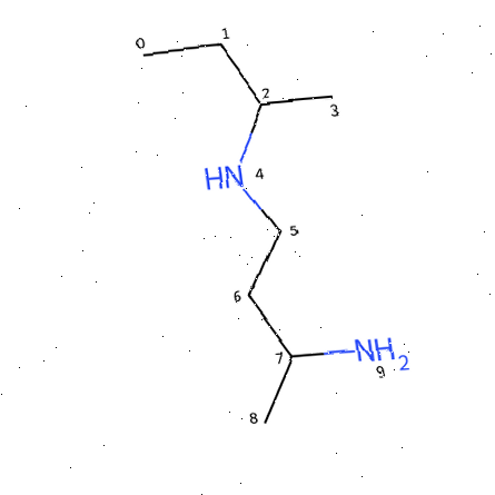 CCC(C)NCCC(C)N